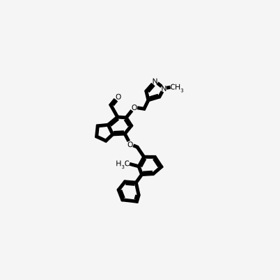 Cc1c(COc2cc(OCc3cnn(C)c3)c(C=O)c3c2CCC3)cccc1-c1ccccc1